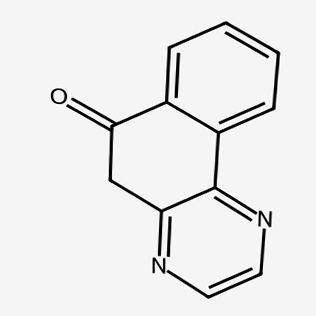 O=C1Cc2nccnc2-c2ccccc21